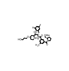 COC[C@H]1CCCN1C(=O)c1cc(C)cc(C(=O)N[C@@H](Cc2cc(F)cc(F)c2)[C@H](O)C2C[C@@H](OCCCO)CCN2)c1